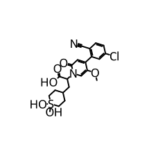 COc1cn(C(CC2CCS(O)(O)CC2)C(=O)O)c(=O)cc1-c1cc(Cl)ccc1C#N